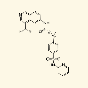 O=C(Nc1ccc2cncc(C(F)F)c2c1)[C@@H]1C[C@H]1c1ccc(S(=O)(=O)Nc2ccccn2)cc1